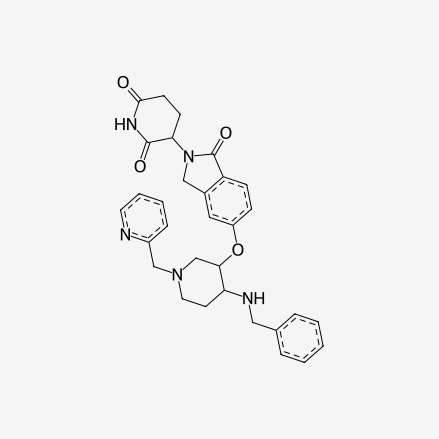 O=C1CCC(N2Cc3cc(OC4CN(Cc5ccccn5)CCC4NCc4ccccc4)ccc3C2=O)C(=O)N1